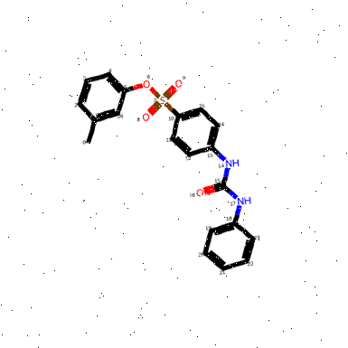 Cc1cccc(OS(=O)(=O)c2ccc(NC(=O)Nc3ccccc3)cc2)c1